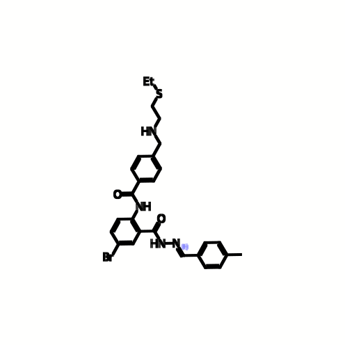 CCSCCNCc1ccc(C(=O)Nc2ccc(Br)cc2C(=O)N/N=C/c2ccc(C)cc2)cc1